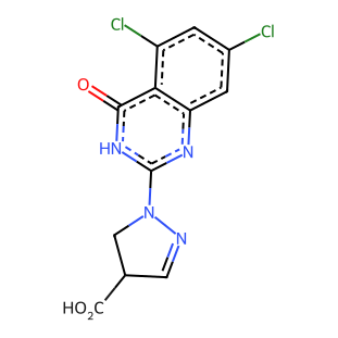 O=C(O)C1C=NN(c2nc3cc(Cl)cc(Cl)c3c(=O)[nH]2)C1